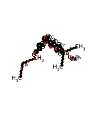 CCCCCCCC[CH2][Ca][CH2]CCCCCCCC.CCCCCCCC[CH2][Ca][CH2]CCCCCCCC.O=S(=O)([O-])c1cccc2ccccc12.O=S(=O)([O-])c1cccc2ccccc12.O=S(=O)([O-])c1cccc2ccccc12.O=S(=O)([O-])c1cccc2ccccc12.[Ca+2].[Ca+2].[Ca+2].[O-]c1ccccc1.[O-]c1ccccc1